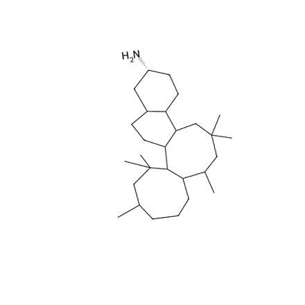 CC1CCCC2C(C)CC(C)(C)CC3C4CC[C@@H](N)CC4CCC3C2C(C)(C)C1